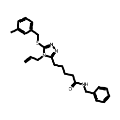 C=CCn1c(CCCCC(=O)NCc2ccccc2)nnc1SCc1cccc(C)c1